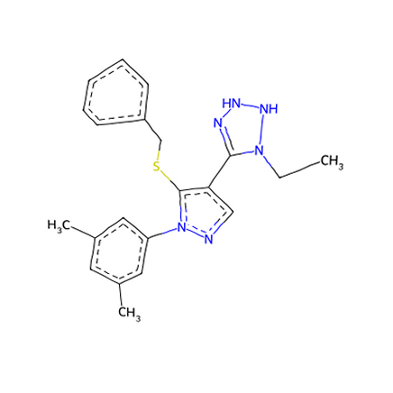 CCN1NNN=C1c1cnn(-c2cc(C)cc(C)c2)c1SCc1ccccc1